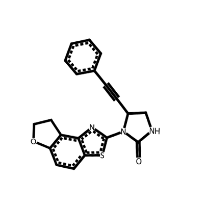 O=C1NCC(C#Cc2ccccc2)N1c1nc2c3c(ccc2s1)OCC3